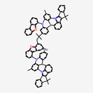 Cc1cc2c3c(c1)-n1c4c(c5cccc(c51)B3c1ccc(C(C)(C)Cc3cccc5c3oc3cccc(N6c7cc(C(C)(C)C)ccc7B7c8c6cc(C)cc8-n6c8c(c9cccc7c96)C(C)(C)c6ccccc6-8)c35)cc1N2c1cccc2c1oc1ccccc12)C(C)(C)c1ccccc1-4